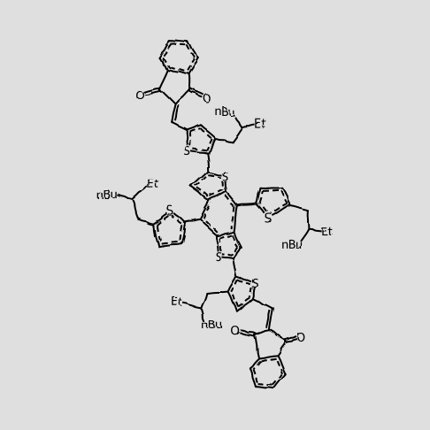 CCCCC(CC)Cc1ccc(-c2c3cc(-c4sc(C=C5C(=O)c6ccccc6C5=O)cc4CC(CC)CCCC)sc3c(-c3ccc(CC(CC)CCCC)s3)c3cc(-c4sc(C=C5C(=O)c6ccccc6C5=O)cc4CC(CC)CCCC)sc23)s1